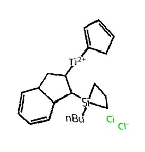 CCCC[Si]1(C2[CH]([Ti+2][C]3=CC=CC3)CC3C=CC=CC32)CCC1.[Cl-].[Cl-]